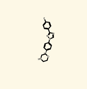 Fc1ccc(-c2ncn(-c3ccc([C@@H]4CNCCO4)cc3)n2)cc1